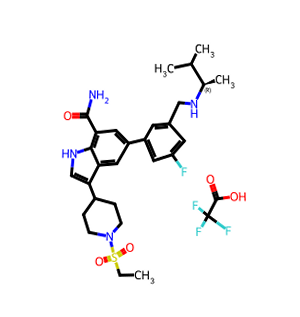 CCS(=O)(=O)N1CCC(c2c[nH]c3c(C(N)=O)cc(-c4cc(F)cc(CN[C@H](C)C(C)C)c4)cc23)CC1.O=C(O)C(F)(F)F